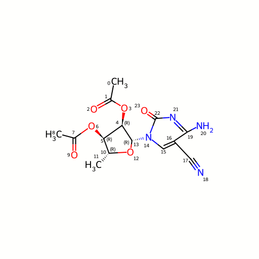 CC(=O)O[C@@H]1[C@H](OC(C)=O)[C@@H](C)O[C@H]1n1cc(C#N)c(N)nc1=O